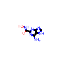 Nc1nc(C(=O)NO)nc2nc[nH]c12